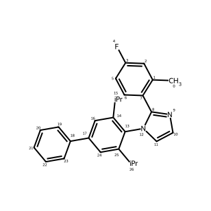 Cc1cc(F)ccc1-c1nccn1-c1c(C(C)C)cc(-c2ccccc2)cc1C(C)C